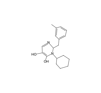 Cc1cccc(CC2N=CC(O)=C(O)N2C2CCCCC2)c1